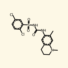 Cc1cc2c(cc1NC(=O)NS(=O)(=O)c1cc(Cl)ccc1Cl)CCCN2C